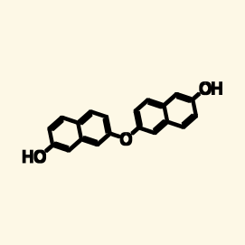 Oc1ccc2cc(Oc3ccc4ccc(O)cc4c3)ccc2c1